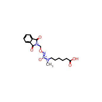 CN(CCCCCC(=O)O)/[N+]([O-])=N/OCN1C(=O)c2ccccc2C1=O